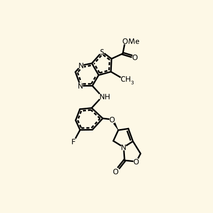 COC(=O)c1sc2ncnc(Nc3ccc(F)cc3O[C@H]3C=C4COC(=O)N4C3)c2c1C